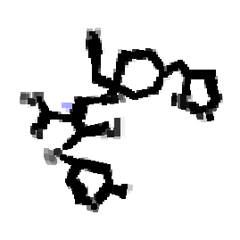 N#CCC1(N/C=C(\C(=N)Nc2ccnc(F)c2)C(N)=O)CCN(CC2C=CON2)CC1